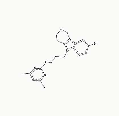 Cc1cc(C)nc(OCCCn2c3c(c4cc(Br)ccc42)CCCC3)n1